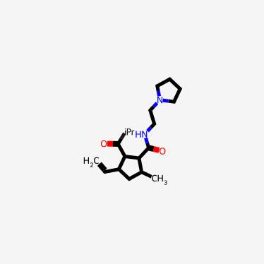 C=CC1CC(C)C(C(=O)NCCN2CCCC2)C1C(=O)C(C)C